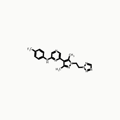 Cc1nn(CCn2ncnn2)c(C)c1-c1cncc(Nc2ccc(C(F)(F)F)cc2)n1